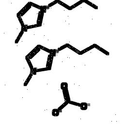 CCCC[n+]1ccn(C)c1.CCCC[n+]1ccn(C)c1.O=C([O-])[O-]